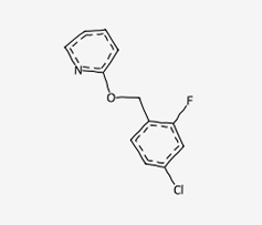 Fc1cc(Cl)ccc1COc1ccccn1